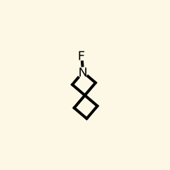 FN1CC2(CCC2)C1